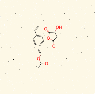 C=COC(C)=O.C=Cc1ccccc1.O=C1CC(O)C(=O)O1